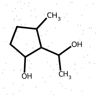 CC(O)C1C(C)CCC1O